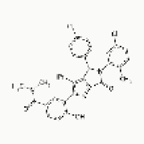 Cc1ccc(Cl)cc1N1C(=O)c2nc(-c3cc(C(=O)N(C)C)ccc3O)n(C(C)C)c2C1c1ccc(Cl)cc1